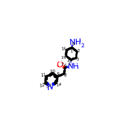 N[C@H]1CC[C@H](NC(=O)Cc2cccnc2)CC1